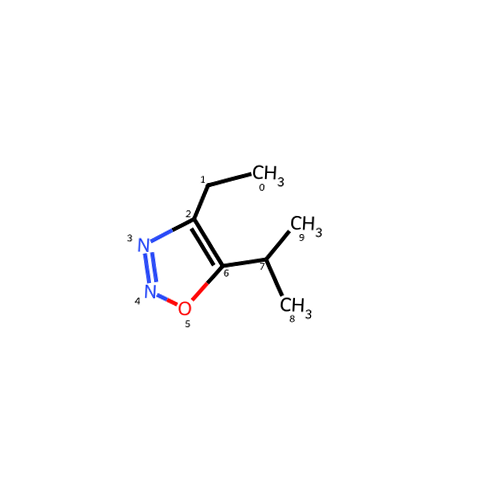 CCc1nnoc1C(C)C